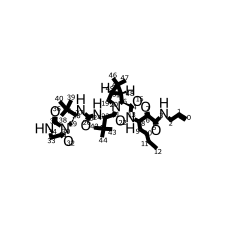 C=CCNC(=O)C(=O)C(CCCC)NC(=O)[C@@H]1[C@@H]2[C@H](CN1C(=O)[C@@H](NC(=O)N[C@H](CN1C(=O)CNC1=O)C(C)(C)C)C(C)(C)C)C2(C)C